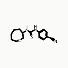 N#Cc1ccc(NC(=S)NC2CCCCCCC2)cc1